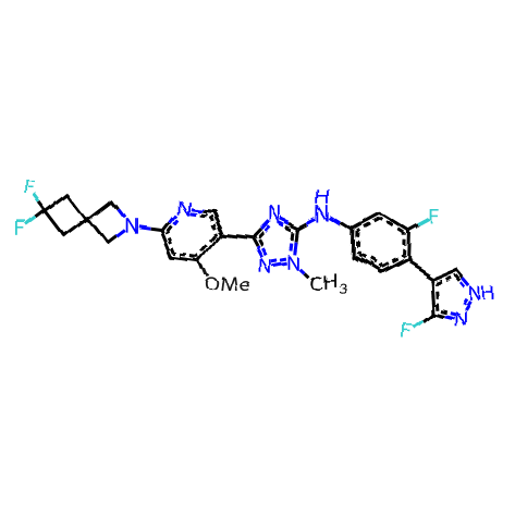 COc1cc(N2CC3(C2)CC(F)(F)C3)ncc1-c1nc(Nc2ccc(-c3c[nH]nc3F)c(F)c2)n(C)n1